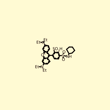 CCN(CC)c1ccc2c(-c3ccc(S(=O)(=O)NC4CCCCC4)cc3S(=O)(=O)O)c3ccc(N(CC)CC)cc3[o+]c2c1